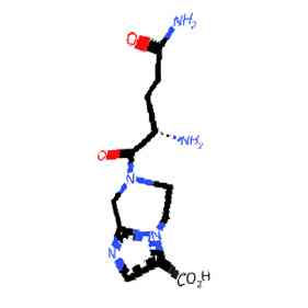 NC(=O)CC[C@H](N)C(=O)N1CCn2c(C(=O)O)cnc2C1